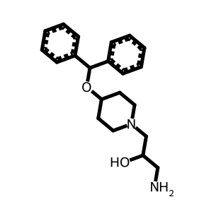 NCC(O)CN1CCC(OC(c2ccccc2)c2ccccc2)CC1